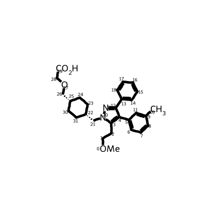 COCCc1c(-c2cccc(C)c2)c(-c2ccccc2)nn1C[C@H]1CC[C@@H](COCC(=O)O)CC1